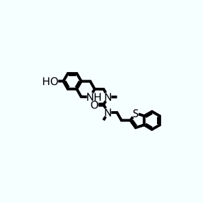 CN(CCc1cc2ccccc2s1)C(=O)N(C)CC1Cc2ccc(O)cc2CN1